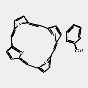 C1=Cc2cc3ccc(cc4nc(cc5ccc(cc1n2)[nH]5)C=C4)[nH]3.Oc1ccccc1